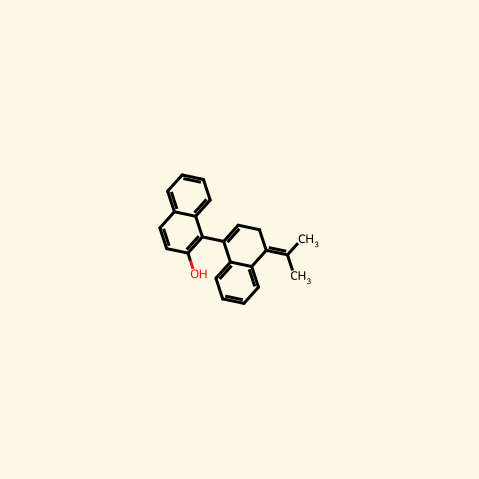 CC(C)=C1CC=C(c2c(O)ccc3ccccc23)c2ccccc21